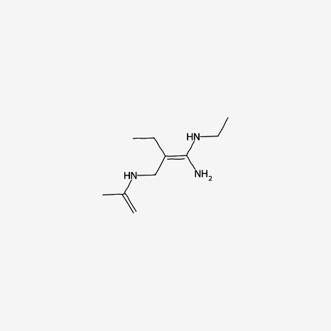 C=C(C)NC/C(CC)=C(\N)NCC